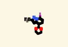 FC(F)(F)c1cc2c(C3OCCCO3)ccc(I)n2n1